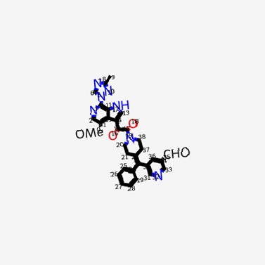 COc1cnc(-n2cnc(C)n2)c2[nH]cc(C(=O)C(=O)N3CCC(=C(c4ccccc4)c4cncc(C=O)c4)CC3)c12